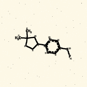 CC1(C)CCC(c2ncc(SF)cn2)C1